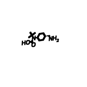 CC(C)(C)N(C(=O)O)[C@H]1CC[C@H](CN)CC1